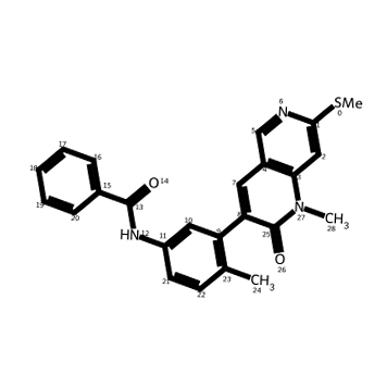 CSc1cc2c(cn1)cc(-c1cc(NC(=O)c3ccccc3)ccc1C)c(=O)n2C